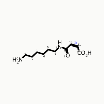 NCCCCCCNC(=O)/C=C\C(=O)O